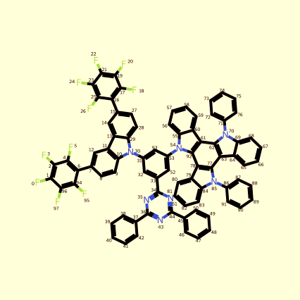 Fc1c(F)c(F)c(-c2ccc3c(c2)c2cc(-c4c(F)c(F)c(F)c(F)c4F)ccc2n3-c2cc(-c3nc(-c4ccccc4)nc(-c4ccccc4)n3)cc(-n3c4ccccc4c4c5c(c6ccccc6n5-c5ccccc5)c5c(c6ccccc6n5-c5ccccc5)c43)c2)c(F)c1F